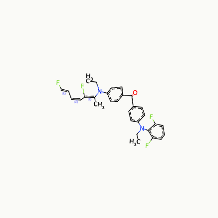 CCN(/C(C)=C(F)/C=C\C=C\F)c1ccc(C(=O)c2ccc(N(CC)c3c(F)cccc3F)cc2)cc1